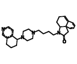 O=C1CC23C=CC=CC2=CCCC3N1CCCCN1CCN(C2CCCc3cnccc32)CC1